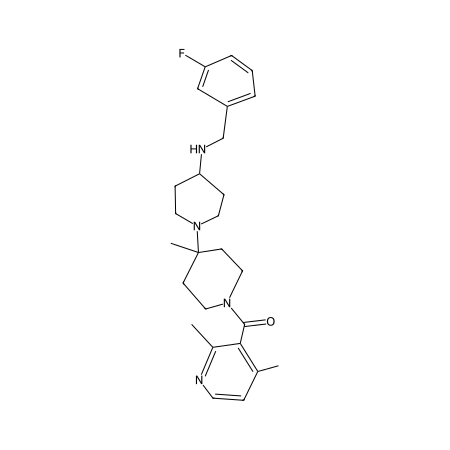 Cc1ccnc(C)c1C(=O)N1CCC(C)(N2CCC(NCc3cccc(F)c3)CC2)CC1